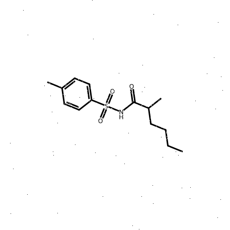 CCCCC(C)C(=O)NS(=O)(=O)c1ccc(C)cc1